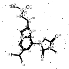 C[C@@H](N[S@+]([O-])C(C)(C)C)c1cn2cc(C(F)F)cc(N3CC(=O)N(C)C3=O)c2n1